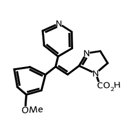 COc1cccc(C(=CC2=NCCN2C(=O)O)c2ccncc2)c1